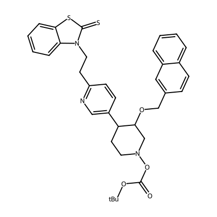 CC(C)(C)OC(=O)ON1CCC(c2ccc(CCn3c(=S)sc4ccccc43)nc2)C(OCc2ccc3ccccc3c2)C1